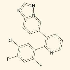 Fc1cc(F)c(-c2ncccc2-c2ccc3ncnn3c2)cc1Cl